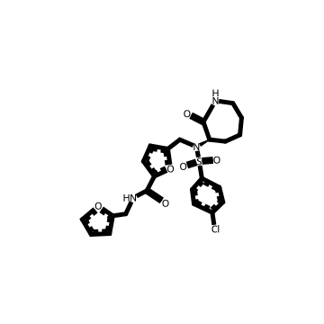 O=C(NCc1ccco1)c1ccc(CN([C@@H]2CCCCNC2=O)S(=O)(=O)c2ccc(Cl)cc2)o1